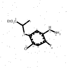 CCOC(=O)C(C)Sc1cc(NN)c(F)cc1Cl